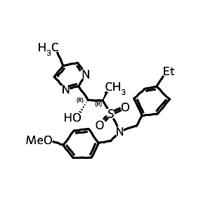 CCc1ccc(CN(Cc2ccc(OC)cc2)S(=O)(=O)[C@H](C)[C@H](O)c2ncc(C)cn2)cc1